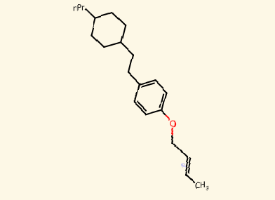 C/C=C/COc1ccc(CCC2CCC(CCC)CC2)cc1